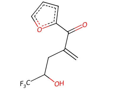 C=C(CC(O)C(F)(F)F)C(=O)c1ccco1